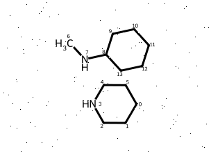 C1CCNCC1.CNC1CCCCC1